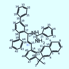 CC1(C)c2cc3ccccc3cc2-c2c(/C=C/C(NC(N)c3ccccc3)c3cc(-c4ccccc4)ccc3-c3ccccc3)cccc21